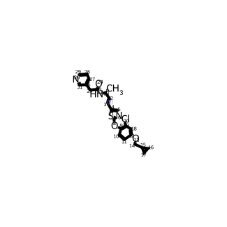 C[C@@H](/C=C/c1cnc(Oc2ccc(OCC3CC3)cc2Cl)s1)NC(=O)Cc1cccnc1